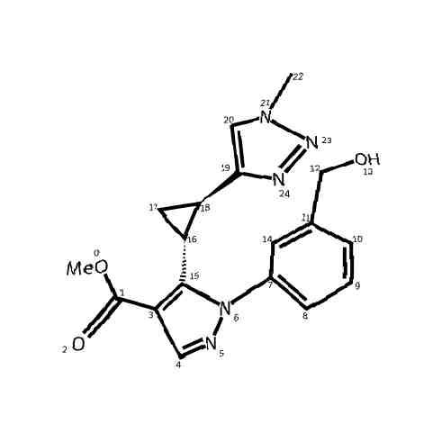 COC(=O)c1cnn(-c2cccc(CO)c2)c1[C@@H]1C[C@H]1c1cn(C)nn1